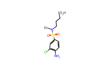 CCN(CCCS(=O)(=O)O)S(=O)(=O)c1ccc(N)c(Cl)c1